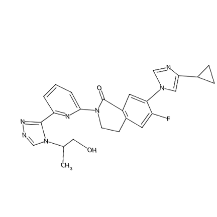 CC(CO)n1cnnc1-c1cccc(N2CCc3cc(F)c(-n4cnc(C5CC5)c4)cc3C2=O)n1